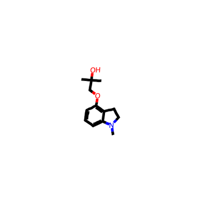 CN1CCc2c(OCC(C)(C)O)cccc21